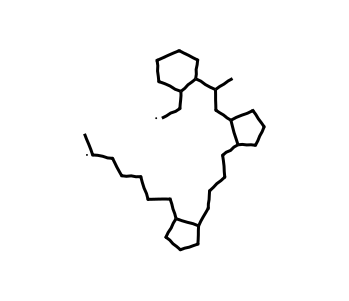 [CH2]CC1CCCCC1C(C)CC1CCCC1CCCCC1CCCC1CCCCC[CH]C